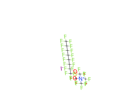 O=S(=O)(C(F)(F)C(F)(F)C(F)(F)C(F)(F)C(F)(F)C(F)(F)C(F)(F)C(F)(F)F)C(F)(F)[N+](C(F)(F)F)(C(F)(F)F)C(F)(F)F.[I-]